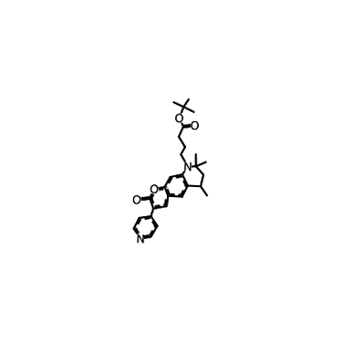 CC1CC(C)(C)N(CCCC(=O)OC(C)(C)C)c2cc3oc(=O)c(-c4ccncc4)cc3cc21